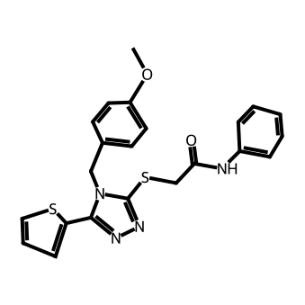 COc1ccc(Cn2c(SCC(=O)Nc3ccccc3)nnc2-c2cccs2)cc1